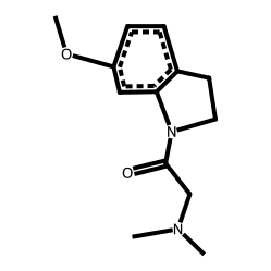 COc1ccc2c(c1)N(C(=O)CN(C)C)CC2